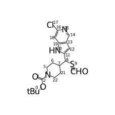 CC(C)(C)OC(=O)N1CCC(C(SC=O)c2cc3cnc(Cl)cc3[nH]2)CC1